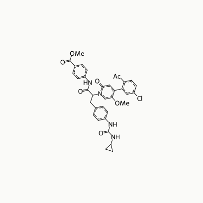 COC(=O)c1ccc(NC(=O)C(Cc2ccc(NC(=O)NC3CC3)cc2)n2cc(OC)c(-c3cc(Cl)ccc3C(C)=O)cc2=O)cc1